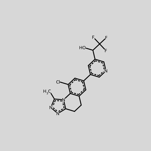 Cc1nnc2n1-c1c(Cl)cc(-c3cncc(C(O)C(F)(F)F)c3)cc1CC2